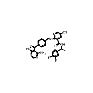 C[C@H](NC(=O)c1cc(C#N)cnc1NCc1ccc(-c2n[nH]c3ncnc(N)c23)cc1)c1ccc(F)c(F)c1